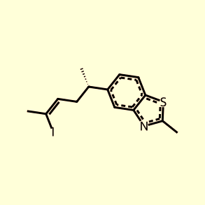 C/C(I)=C/C[C@H](C)c1ccc2sc(C)nc2c1